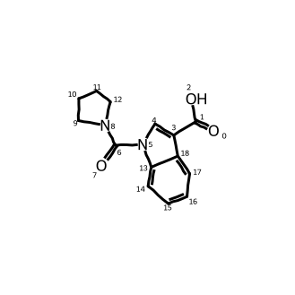 O=C(O)c1cn(C(=O)N2CCCC2)c2ccccc12